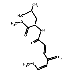 C=C(/C=C\SC)/C=C/C(=O)N[C@H](CC(C)C)C(=O)OC